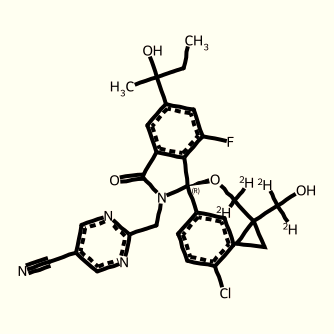 [2H]C([2H])(O)C1(C([2H])([2H])O[C@]2(c3ccc(Cl)cc3)c3c(F)cc(C(C)(O)CC)cc3C(=O)N2Cc2ncc(C#N)cn2)CC1